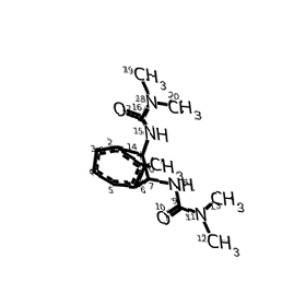 Cc1c2cccc1C(NC(=O)N(C)C)C2NC(=O)N(C)C